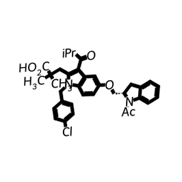 CC(=O)N1c2ccccc2C[C@H]1COc1ccc2c(c1)c(C(=O)C(C)C)c(CC(C)(C)C(=O)O)n2Cc1ccc(Cl)cc1